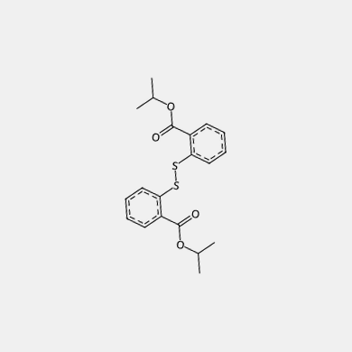 CC(C)OC(=O)c1ccccc1SSc1ccccc1C(=O)OC(C)C